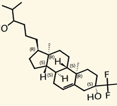 CC(C)C(O)CCC[C@@H]1CC[C@H]2[C@@H]3CC=C4C[C@](O)(C(F)(F)F)CC[C@]4(C)[C@H]3CC[C@]12C